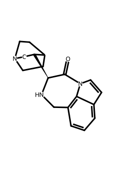 O=C1[C@H](C2CN3CCC2CC3)NCc2cccc3ccn1c23